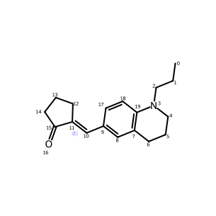 CCCN1CCCc2cc(/C=C3\CCCC3=O)ccc21